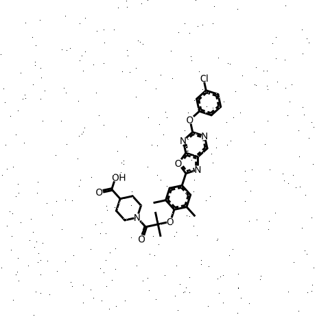 Cc1cc(-c2nc3cnc(Oc4cccc(Cl)c4)nc3o2)cc(C)c1OC(C)(C)C(=O)N1CCC(C(=O)O)CC1